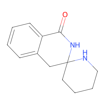 O=C1NC2(CCCCN2)Cc2ccccc21